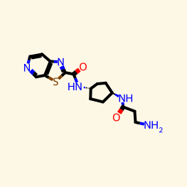 NCCC(=O)N[C@H]1CC[C@H](NC(=O)c2nc3ccncc3s2)CC1